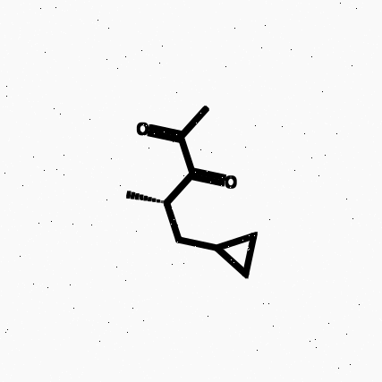 CC(=O)C(=O)[C@@H](C)CC1CC1